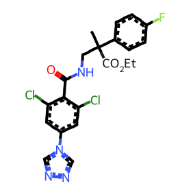 CCOC(=O)C(C)(CNC(=O)c1c(Cl)cc(-n2cnnc2)cc1Cl)c1ccc(F)cc1